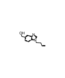 C=CCCn1cnc2cc(CO)ccc21